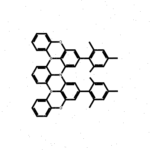 Cc1cc(C)c(-c2cc3c4c(c2)N2c5cc(-c6c(C)cc(C)cc6C)cc6c5B(c5ccccc5O6)c5cccc(c52)B4c2ccccc2O3)c(C)c1